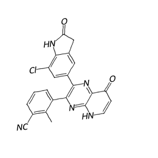 Cc1c(C#N)cccc1-c1nc2[nH]ccc(=O)c2nc1-c1cc(Cl)c2c(c1)CC(=O)N2